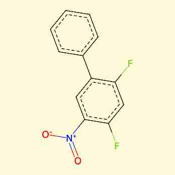 O=[N+]([O-])c1cc(-c2ccccc2)c(F)cc1F